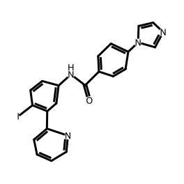 O=C(Nc1ccc(I)c(-c2ccccn2)c1)c1ccc(-n2ccnc2)cc1